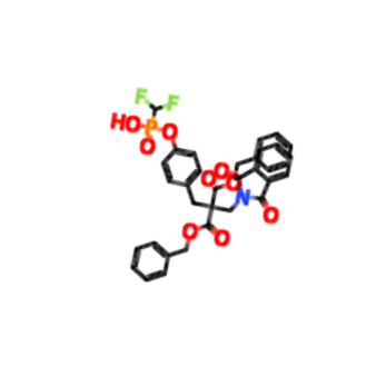 O=C1c2ccccc2C(=O)N1CC(Cc1ccc(OP(=O)(O)C(F)F)cc1)(C(=O)OCc1ccccc1)C(=O)OCc1ccccc1